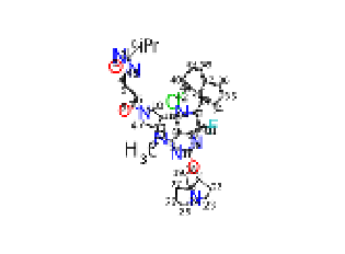 CC(C)c1noc(/C=C/C(=O)N2CCC(N(C)c3nc(OCC45CCCN4CCC5)nc4c(F)c(-c5cccc6cccc(Cl)c56)ncc34)C2)n1